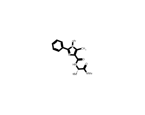 CCCn1c(-c2ccccc2)nc(C(=O)N[C@H](C(=O)NC)C(C)(C)C)c1C